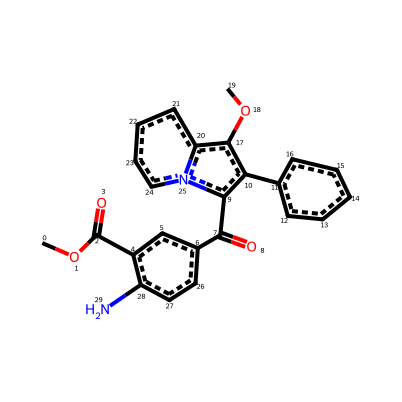 COC(=O)c1cc(C(=O)c2c(-c3ccccc3)c(OC)c3ccccn23)ccc1N